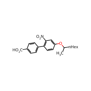 CCCCCCC(C)Oc1ccc(-c2ccc(C(=O)O)cc2)c([N+](=O)[O-])c1